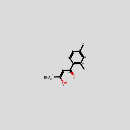 CCOC(=O)/C(O)=C/C(=O)c1ccc(C)cc1C